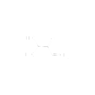 C=CC(=O)[C](C)C